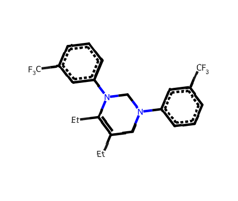 CCC1=C(CC)N(c2cccc(C(F)(F)F)c2)CN(c2cccc(C(F)(F)F)c2)C1